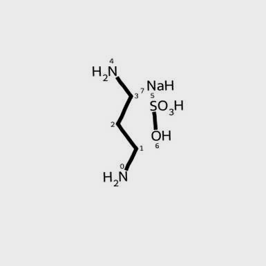 NCCCN.O=S(=O)(O)O.[NaH]